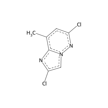 Cc1cc(Cl)nn2cc(Cl)nc12